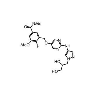 CNC(=O)c1cc(COc2cnc(Nc3cnn(C[C@H](O)CO)c3)nc2)c(F)c(OC)c1